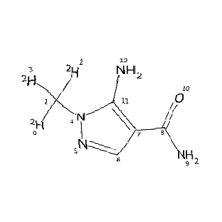 [2H]C([2H])([2H])n1ncc(C(N)=O)c1N